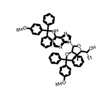 CC[C@@H](O)[C@H]1O[C@@H](n2cnc3c(NC(c4ccccc4)(c4ccccc4)c4ccc(OC)cc4)ncnc32)[C@H](OC(c2ccccc2)(c2ccccc2)c2ccc(OC)cc2)[C@@H]1C